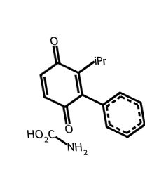 CC(C)C1=C(c2ccccc2)C(=O)C=CC1=O.NC(=O)O